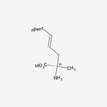 CCCCCC=CC[C@@](C)(N)C(=O)O